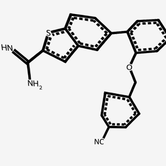 N#Cc1ccc(COc2ccccc2-c2ccc3sc(C(=N)N)cc3c2)cc1